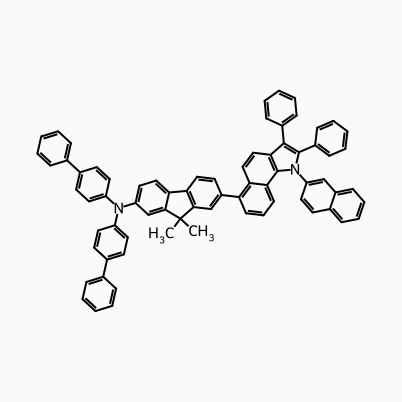 CC1(C)c2cc(-c3cccc4c3ccc3c(-c5ccccc5)c(-c5ccccc5)n(-c5ccc6ccccc6c5)c34)ccc2-c2ccc(N(c3ccc(-c4ccccc4)cc3)c3ccc(-c4ccccc4)cc3)cc21